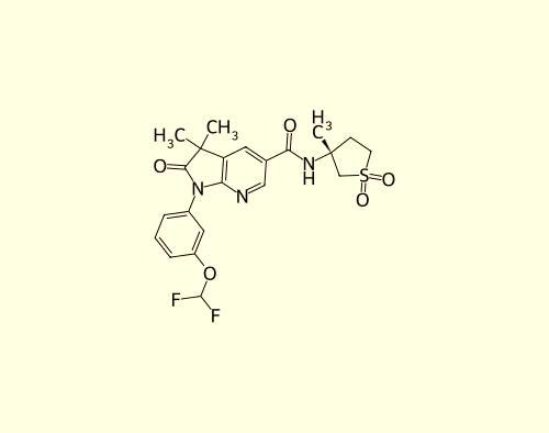 CC1(C)C(=O)N(c2cccc(OC(F)F)c2)c2ncc(C(=O)N[C@]3(C)CCS(=O)(=O)C3)cc21